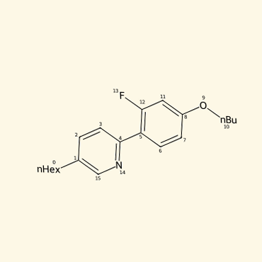 CCCCCCc1ccc(-c2ccc(OCCCC)cc2F)nc1